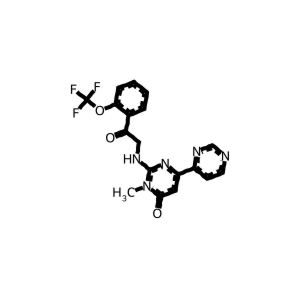 Cn1c(NCC(=O)c2ccccc2OC(F)(F)F)nc(-c2ccncn2)cc1=O